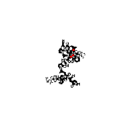 CC(C)(C)OC(=O)N1CCCC12CCN(C(CC1CC1N1CC[C@@H](C[C@@H](C#N)NC(=O)[C@H](CC3CC3N3CC[C@@H](C[C@@H](C#N)NC(=O)[C@H](CC4CC4)N4CCC5(CCCN5C(=O)OC(C)(C)C)C4=O)C3=O)N3CCC4(CCCCN4)C3=O)C1=O)C(=O)NC(C#N)CC1CCNC1=O)C2=O